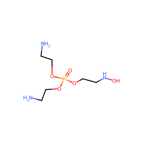 NCCOP(=O)(OCCN)OCCNO